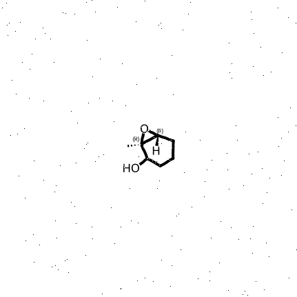 C[C@]12O[C@@H]1CCCC2O